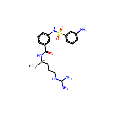 Nc1cccc(S(=O)(=O)Nc2cccc(C(=O)N[C@@H](CCCNC(N)N)C(=O)O)c2)c1